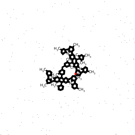 Cc1cc(C)c(-c2c3cc4c5cc(C)cc6c7cc(C)ccc7n(c4cc3c(-c3c(C)cc(Cc4ccc(-c7c8cc9c%10cc(C)cc%11c%12cc(C)ccc%12n(c9cc8c(-c8ccccc8C)c8cc9c%12cc(C)cc%13c%14cc(C)ccc%14n(c9cc78)c%13%12)c%11%10)c(C)c4)cc3C)c3cc4c7cc(C)cc8c9cc(C)ccc9n(c4cc23)c87)c65)c(C)c1